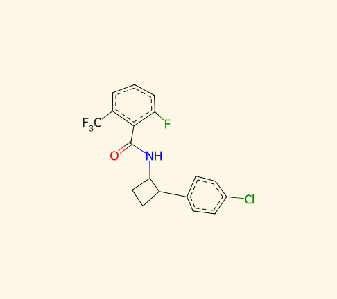 O=C(NC1CCC1c1ccc(Cl)cc1)c1c(F)cccc1C(F)(F)F